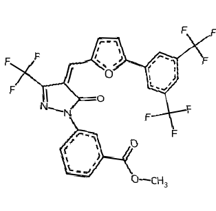 COC(=O)c1cccc(N2N=C(C(F)(F)F)C(=Cc3ccc(-c4cc(C(F)(F)F)cc(C(F)(F)F)c4)o3)C2=O)c1